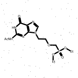 CCOP(=O)(COCCn1cnc2c(=O)[nH]c(NC(C)=O)nc21)OCC